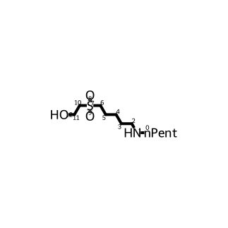 CCCCCNCCCCCS(=O)(=O)CCO